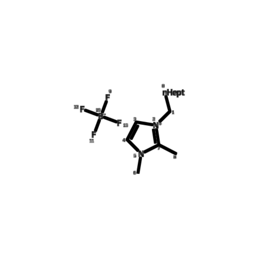 CCCCCCCC[n+]1ccn(C)c1C.F[B-](F)(F)F